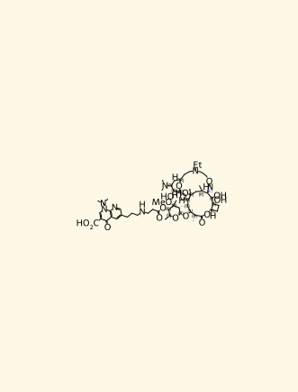 CCN1CCO/N=C2\[C@H](C)C[C@@](C)(O)[C@H](O[C@@H]3O[C@H](CC1)C[C@H](N(C)C)[C@H]3O)[C@@H](C)[C@H](O[C@H]1C[C@@](C)(OC)[C@@H](OC(=O)CCNCCCc3cnc4c(c3)c(=O)c(C(=O)O)cn4N(C)C)[C@H](C)O1)[C@@H](C)C(=O)O[C@@H]1CC[C@]1(O)[C@@H]2O